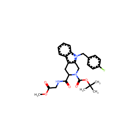 COC(=O)CNC(=O)C1Cc2c(n(Cc3ccc(F)cc3)c3ccccc23)CN1C(=O)OC(C)(C)C